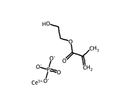 C=C(C)C(=O)OCCO.O=P([O-])([O-])[O-].[Ce+3]